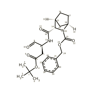 CC(C)(C)OC(=O)C[C@@H](C=O)NC(=O)[C@@H]1[C@H]2CC[C@H](C2)N1C(=O)OCc1ccccc1